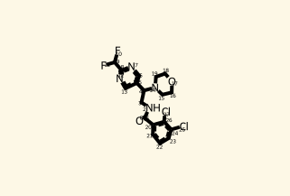 O=C(NCC(c1cnc(C(F)F)nc1)N1CCOCC1)c1cccc(Cl)c1Cl